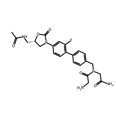 CC(=O)NC[C@H]1CN(c2ccc(-c3ccc(CN(CC(N)=O)C(=O)CN)cc3)c(F)c2)C(=O)O1